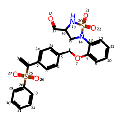 C=C(c1ccc(COc2ccccc2N2CC(C=O)NS2(=O)=O)cc1)S(=O)(=O)c1ccccc1